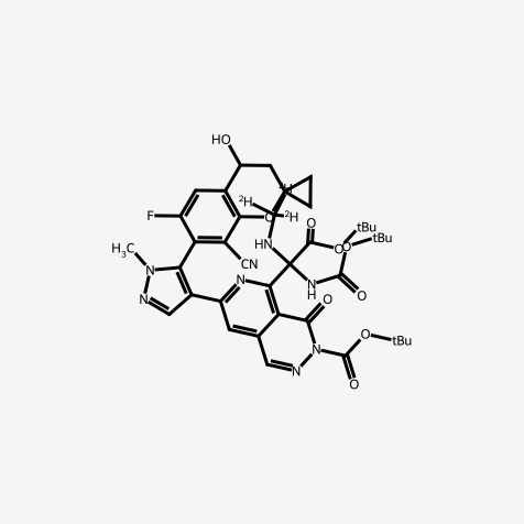 [2H]C([2H])([2H])NC(NC(=O)OC(C)(C)C)(C(=O)OC(C)(C)C)c1nc(-c2cnn(C)c2-c2c(F)cc3c(c2C#N)OC2(CC2)CC3O)cc2cnn(C(=O)OC(C)(C)C)c(=O)c12